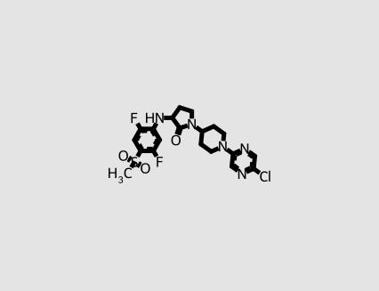 CS(=O)(=O)c1cc(F)c(NC2CCN(C3CCN(c4cnc(Cl)cn4)CC3)C2=O)cc1F